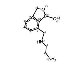 NCCNCc1cccc2c1B(O)OC2